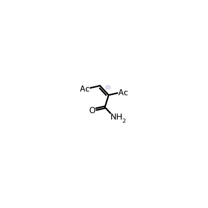 CC(=O)/C=C(/C(C)=O)C(N)=O